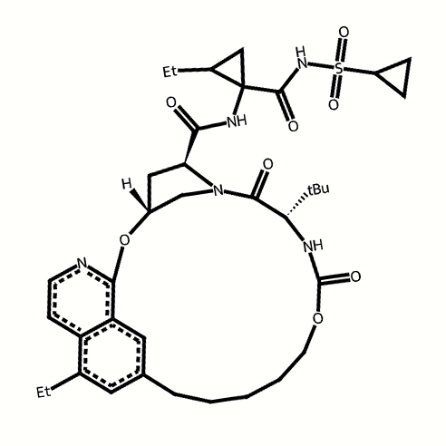 CCc1cc2cc3c(nccc13)O[C@@H]1C[C@@H](C(=O)NC3(C(=O)NS(=O)(=O)C4CC4)CC3CC)N(C1)C(=O)[C@H](C(C)(C)C)NC(=O)OCCCCC2